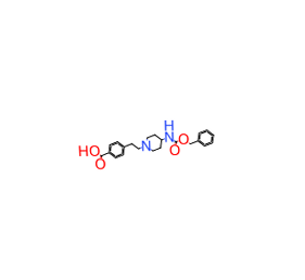 O=C(NC1CCN(CCc2ccc(C(=O)O)cc2)CC1)OCc1ccccc1